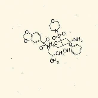 CC(C)CN(CC[C@](O)(Cc1ccccc1)C(C)(CC(N)=O)S(=O)(=O)N1CCOCC1)S(=O)(=O)c1ccc2c(c1)OCO2